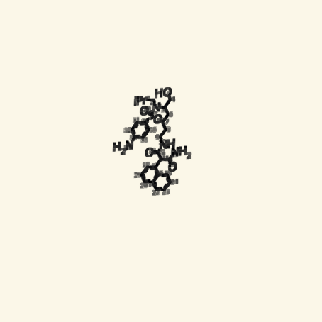 CC(C)CN(C(CO)CCCCNC(=O)C(C(N)=O)c1cccc2ccccc12)S(=O)(=O)c1ccc(N)cc1